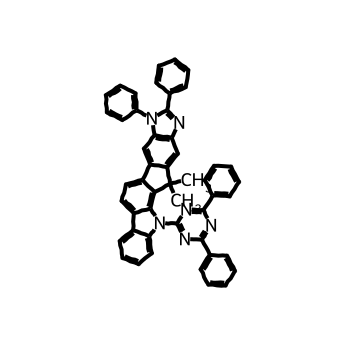 CC1(C)c2cc3nc(-c4ccccc4)n(-c4ccccc4)c3cc2-c2ccc3c4ccccc4n(-c4nc(-c5ccccc5)nc(-c5ccccc5)n4)c3c21